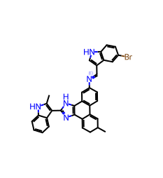 Cc1[nH]c2ccccc2c1-c1nc2c3c(c4ccc(/N=C/c5c[nH]c6ccc(Br)cc56)cc4c2[nH]1)=CC(C)CC=3